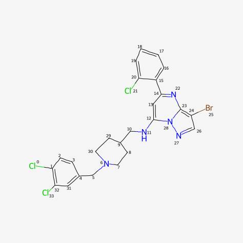 Clc1ccc(CN2CCC(CNc3cc(-c4ccccc4Cl)nc4c(Br)cnn34)CC2)cc1Cl